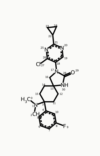 CN(C)C1(c2cccc(F)c2)CCC2(CC1)CN(c1cnc(C3CC3)nc1Cl)C(=O)N2